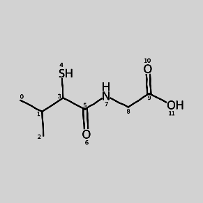 CC(C)C(S)C(=O)NCC(=O)O